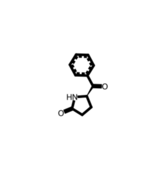 O=C1CC[C@H](C(=O)c2ccccc2)N1